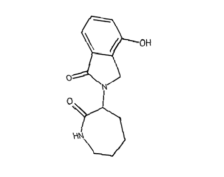 O=C1NCCCCC1N1Cc2c(O)cccc2C1=O